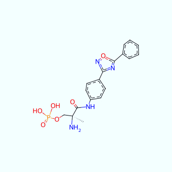 C[C@](N)(COP(=O)(O)O)C(=O)Nc1ccc(-c2noc(-c3ccccc3)n2)cc1